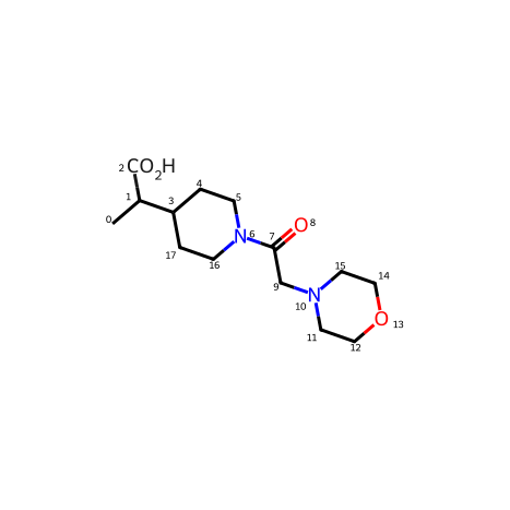 CC(C(=O)O)C1CCN(C(=O)CN2CCOCC2)CC1